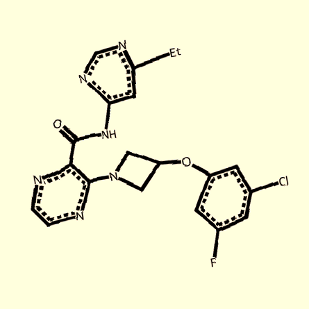 CCc1cc(NC(=O)c2nccnc2N2CC(Oc3cc(F)cc(Cl)c3)C2)ncn1